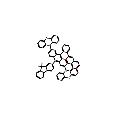 CC1(C)c2ccccc2-c2ccc(-c3c4cc(N5c6ccccc6Sc6ccccc65)ccc4c(-c4ccccc4-c4ccc5ccccc5c4)c4cc(N5c6ccccc6Sc6ccccc65)ccc34)cc21